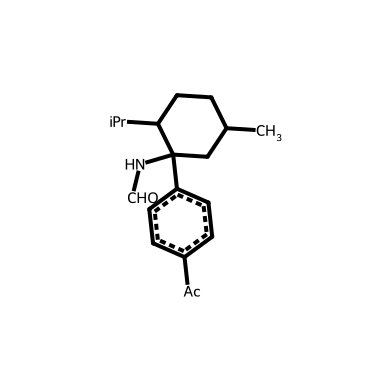 CC(=O)c1ccc(C2(NC=O)CC(C)CCC2C(C)C)cc1